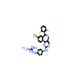 N=C(N)Nc1ccc(Nc2ncc3c(n2)-c2ccc(Cl)cc2C(c2c(F)cccc2F)=NC3)cc1